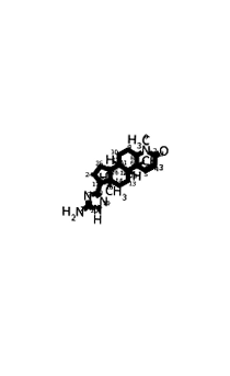 CN1C(=O)C=C[C@@]2(C)C1CC[C@@H]1[C@H]2CC[C@]2(C)C(c3n[nH]c(N)n3)CC[C@@H]12